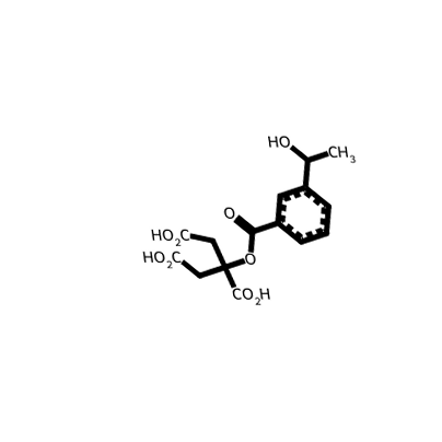 CC(O)c1cccc(C(=O)OC(CC(=O)O)(CC(=O)O)C(=O)O)c1